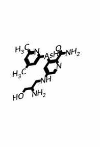 Cc1cc(C)nc([AsH]c2cc(NCC(N)CO)cnc2C(N)=O)c1